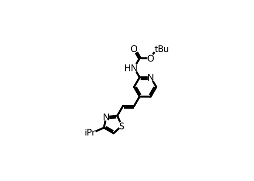 CC(C)c1csc(C=Cc2ccnc(NC(=O)OC(C)(C)C)c2)n1